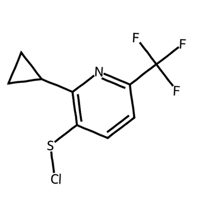 FC(F)(F)c1ccc(SCl)c(C2CC2)n1